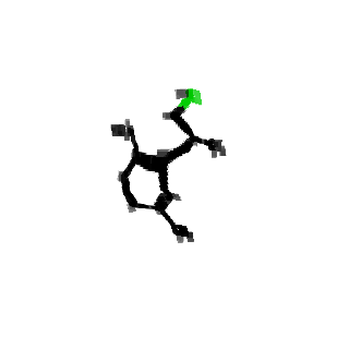 Cc1ccc(S(=O)(=O)O)c(C(C)CCl)c1